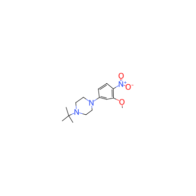 COc1cc(N2CCN(C(C)(C)C)CC2)ccc1[N+](=O)[O-]